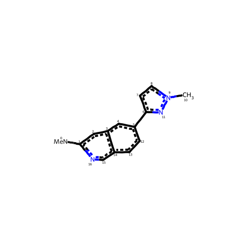 CNc1cc2cc(-c3ccn(C)n3)ccc2cn1